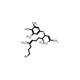 CC(C)=CC(Sc1cc(C)c(O)c(C)c1)C(C)CCC=C(C)CCCC(C)C